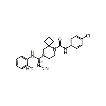 Cc1ccccc1N/C(=N/C#N)N1CCN(C(=O)Nc2ccc(Cl)cc2)C2(CCC2)C1